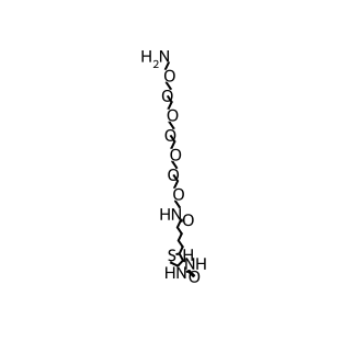 NCCOCCOCCOCCOCCOCCOCCOCCNC(=O)CCCCC1SCC2NC(=O)N[C@@H]21